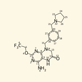 Nc1nc(OCC(F)(F)F)nc2c1NC(=O)CN2Cc1cccc(CN2CCCC2)c1